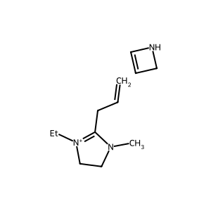 C1=CNC1.C=CCC1=[N+](CC)CCN1C